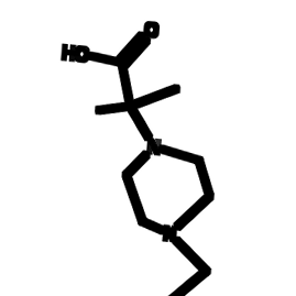 CCN1CCN(C(C)(C)C(=O)O)CC1